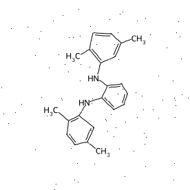 Cc1ccc(C)c(Nc2ccccc2Nc2cc(C)ccc2C)c1